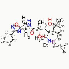 CCN1C(C)C(C/C(O)=C(\C)C(=O)NC(C)(C)c2nc(-c3ccccc3)no2)c2c(ccc(N=O)c2O)CP1CC1CC1